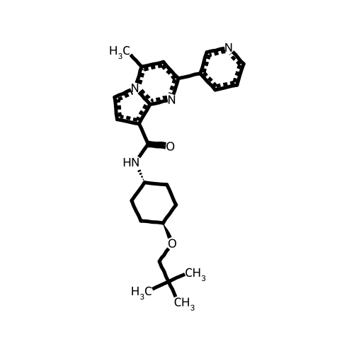 Cc1cc(-c2cccnc2)nc2c(C(=O)N[C@H]3CC[C@H](OCC(C)(C)C)CC3)ccn12